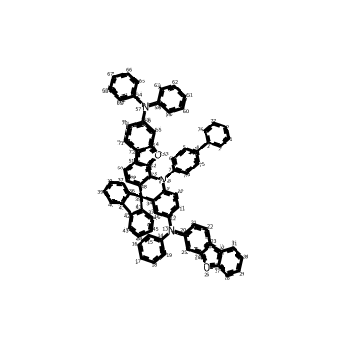 c1ccc(-c2ccc(N3c4ccc(N(c5ccccc5)c5ccc6c(c5)oc5ccccc56)cc4C4(c5ccccc5-c5ccccc54)c4ccc5c(oc6cc(N(c7ccccc7)c7ccccc7)ccc65)c43)cc2)cc1